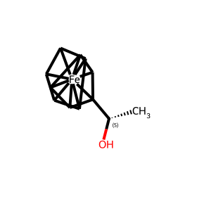 C[C@H](O)[C]12[CH]3[CH]4[CH]5[CH]1[Fe]45321678[CH]2[CH]1[CH]6[CH]7[CH]28